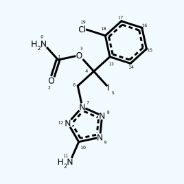 NC(=O)OC(I)(Cn1nnc(N)n1)c1ccccc1Cl